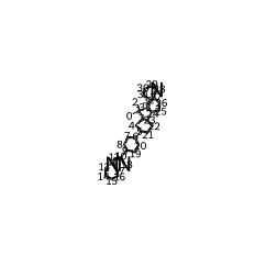 CC1(C)c2cc(-c3ccc(-c4cn5ccccc5n4)cc3)ccc2-c2ccc3ncccc3c21